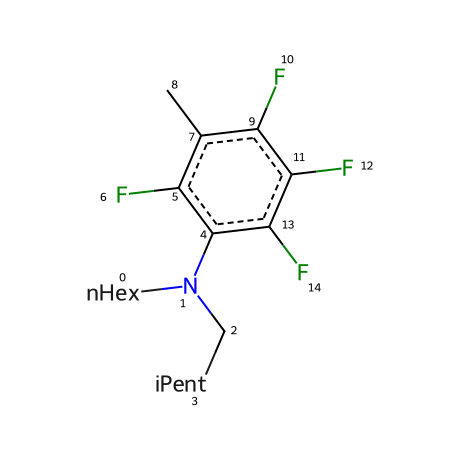 CCCCCCN(CC(C)CCC)c1c(F)c(C)c(F)c(F)c1F